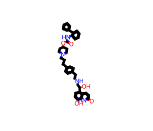 O=C(Nc1ccccc1-c1ccccc1)OC1CCN(CCCc2ccc(CCNC[C@H](O)c3ccc(O)c4[nH]c(=O)ccc34)cc2)CC1